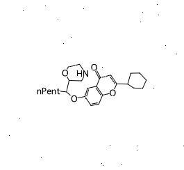 CCCCCC(Oc1ccc2oc(C3CCCCC3)cc(=O)c2c1)C1CNCCO1